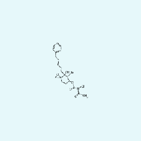 CC(=O)N(Cl)C(=O)OC1CCC2(CO2)C(O)(CCCCCc2ccccc2)C1Br